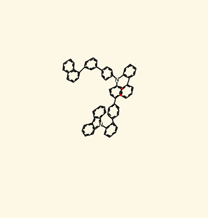 c1ccc(-c2ccccc2N(c2ccc(-c3ccc(-c4ccccc4-n4c5ccccc5c5ccccc54)cc3)cc2)c2ccc(-c3cccc(-c4cccc5ccccc45)c3)cc2)cc1